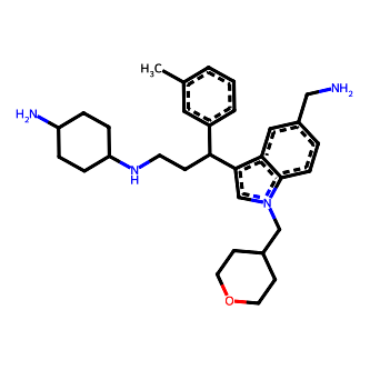 Cc1cccc(C(CCNC2CCC(N)CC2)c2cn(CC3CCOCC3)c3ccc(CN)cc23)c1